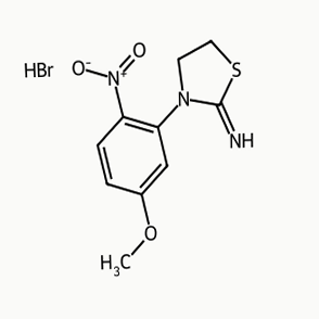 Br.COc1ccc([N+](=O)[O-])c(N2CCSC2=N)c1